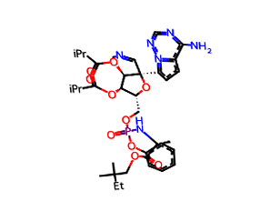 CCC(C)(C)COC(=O)[C@H](C)NP(=O)(OC[C@H]1O[C@@](/C=N\C)(c2ccc3c(N)ncnn23)[C@H](OC(=O)C(C)C)[C@@H]1OC(=O)C(C)C)Oc1ccccc1